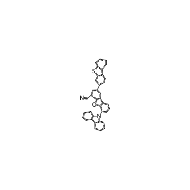 N#Cc1cc(-c2ccc3c(c2)sc2ccccc23)cc2c1oc1c(-n3c4ccccc4c4ccccc43)cccc12